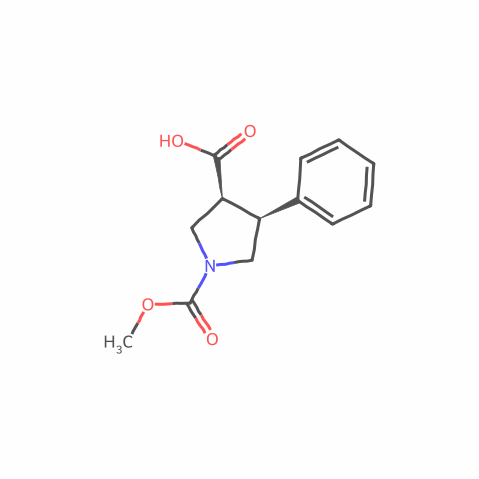 COC(=O)N1C[C@H](c2ccccc2)[C@H](C(=O)O)C1